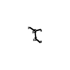 CS[S](C)C